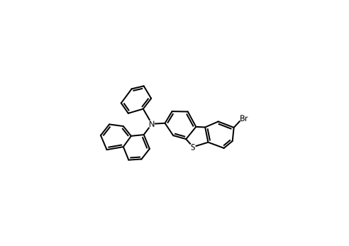 Brc1ccc2sc3cc(N(c4ccccc4)c4cccc5ccccc45)ccc3c2c1